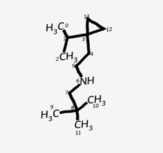 CC(C)C1(CCNCC(C)(C)C)CC1